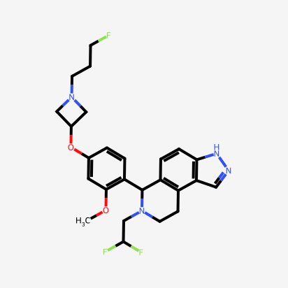 COc1cc(OC2CN(CCCF)C2)ccc1C1c2ccc3[nH]ncc3c2CCN1CC(F)F